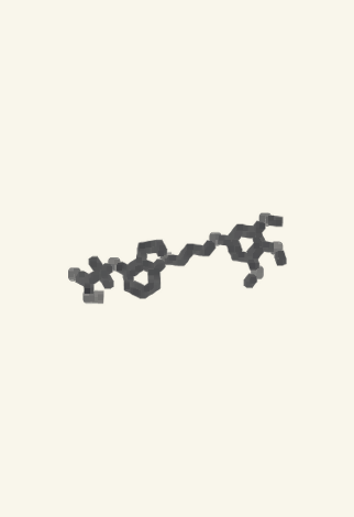 COc1cc(OCCCn2ccc3c(OC(C)(C)C(=O)O)cccc32)cc(OC)c1OC